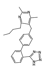 CCCCc1nc(C)nc(C)c1Cc1ccc(-c2ccccc2-c2nnn[nH]2)cc1